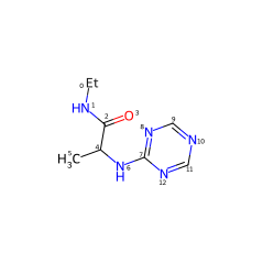 CCNC(=O)C(C)Nc1ncncn1